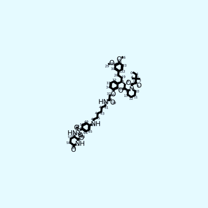 CCC(C)(C)C(=O)C(=O)N1CCCCC1C(=O)C[C@H](CCc1ccc(OC)c(OC)c1)c1cccc(OCC(=O)NCCCCCCNc2ccc(S(=O)(=O)NC3CCC(=O)NC3=O)cc2)c1